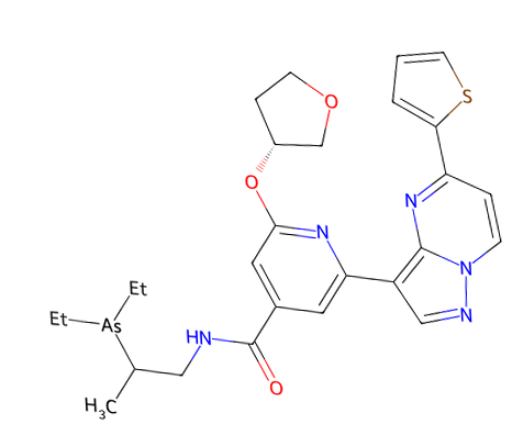 CC[As](CC)C(C)CNC(=O)c1cc(O[C@@H]2CCOC2)nc(-c2cnn3ccc(-c4cccs4)nc23)c1